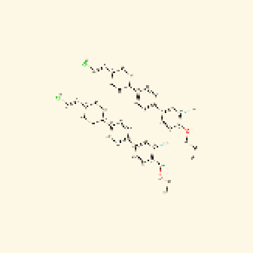 CCCOc1ccc(-c2ccc(C3CCC(/C=C/Cl)CC3)cc2)cc1F.CCOCc1ccc(-c2ccc(C3CCC(/C=C/Cl)CC3)cc2)cc1F